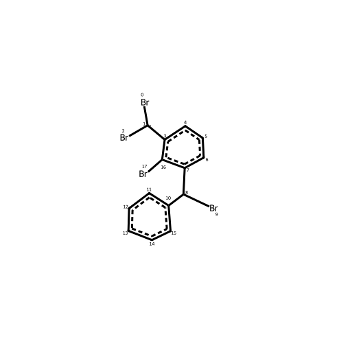 Br[C](Br)c1cccc(C(Br)c2ccccc2)c1Br